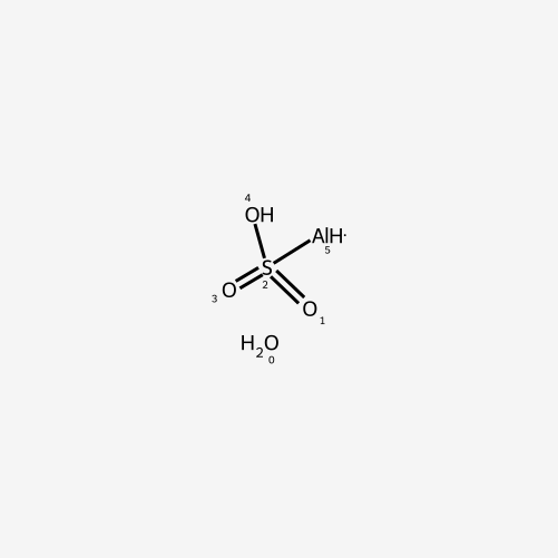 O.O=[S](=O)(O)[AlH]